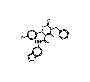 CC1=C(C(=O)Nc2ccc3[nH]ncc3c2)C(c2ccc(F)cc2)NC(=O)N1Cc1ccccc1